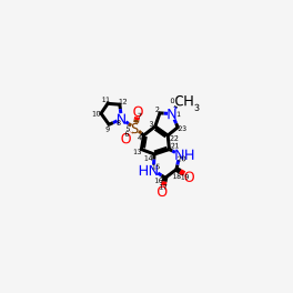 CN1Cc2c(S(=O)(=O)N3CCCC3)cc3[nH]c(=O)c(=O)[nH]c3c2C1